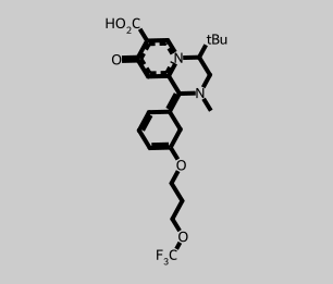 CN1CC(C(C)(C)C)n2cc(C(=O)O)c(=O)cc2/C1=C1\C=CC=C(OCCCOC(F)(F)F)C1